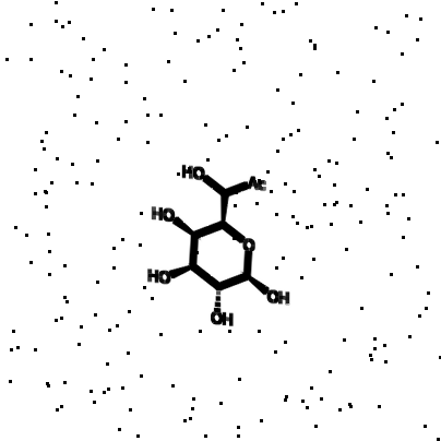 CC(=O)C(O)[C@H]1O[C@@H](O)[C@H](O)[C@@H](O)[C@H]1O